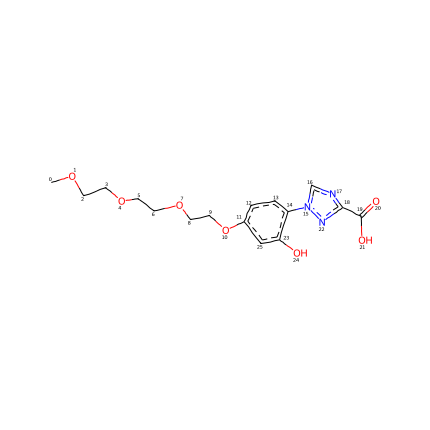 COCCOCCOCCOc1ccc(-n2cnc(C(=O)O)n2)c(O)c1